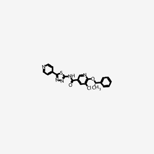 C[C@H](Oc1ncc(C(=O)Nc2nnc(-c3ccncc3)s2)cc1Cl)c1ccccc1